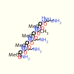 COc1ccc(NC(=O)[C@H](CCCCN)NC(=O)c2cc(NC(=O)[C@H](CCCCN)NC(=O)c3cc(NC(=O)[C@H](C)NC(=O)c4cc(NC(=O)[C@@H](N)CCCCN)ccc4OC)ccc3OC)ccc2OC)cc1C(N)=O